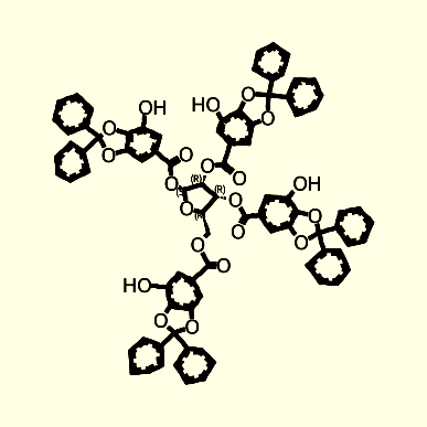 O=C(OC[C@H]1O[C@@H](OC(=O)c2cc(O)c3c(c2)OC(c2ccccc2)(c2ccccc2)O3)[C@H](OC(=O)c2cc(O)c3c(c2)OC(c2ccccc2)(c2ccccc2)O3)[C@@H]1OC(=O)c1cc(O)c2c(c1)OC(c1ccccc1)(c1ccccc1)O2)c1cc(O)c2c(c1)OC(c1ccccc1)(c1ccccc1)O2